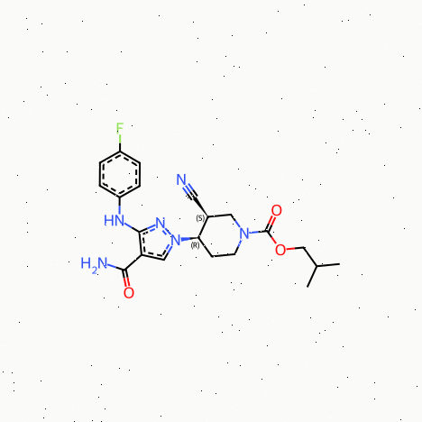 CC(C)COC(=O)N1CC[C@@H](n2cc(C(N)=O)c(Nc3ccc(F)cc3)n2)[C@@H](C#N)C1